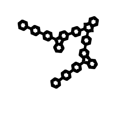 c1ccc(-c2ccc(-c3ccc(-n4c5ccccc5c5cc(-c6ccc(-c7nc8ccccc8nc7-c7ccc(-c8ccc9c(c8)c8ccccc8n9-c8ccc(-c9ccc(-c%10ccccc%10)cc9)cc8)cc7)cc6)ccc54)cc3)cc2)cc1